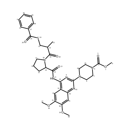 COC(=O)N1CCN(c2nc(NC(=O)C3CCCN3C(=O)C(C)CSC(=O)c3ccccc3)c3cc(OC)c(OC)cc3n2)CC1